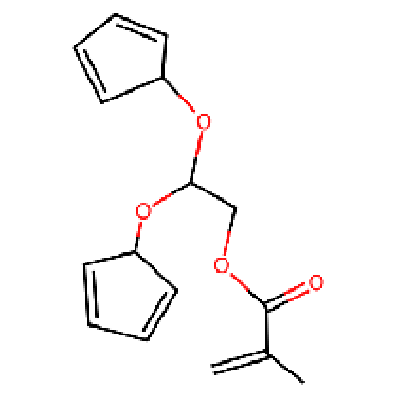 C=C(C)C(=O)OCC(OC1C=CC=C1)OC1C=CC=C1